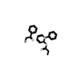 CCC(=O)SC1C=CC=CN1c1ccccc1.O=C(CBr)c1ccccc1